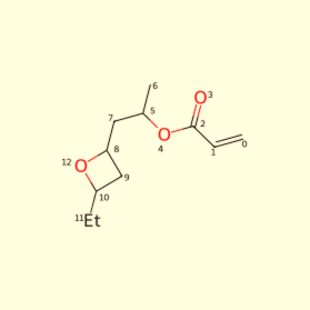 C=CC(=O)OC(C)CC1CC(CC)O1